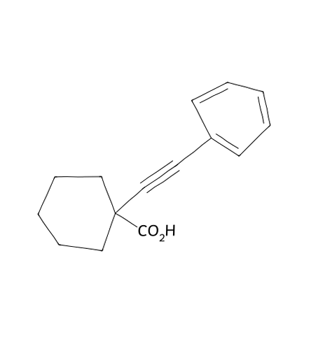 O=C(O)C1(C#Cc2ccccc2)CCCCC1